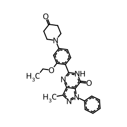 CCOc1cc(N2CCC(=O)CC2)ccc1-c1nc2c(C)nn(-c3ccccc3)c2c(=O)[nH]1